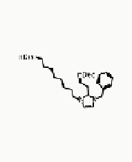 CCCCCCCCCCCCCCCCCCN1C=CN(Cc2ccccc2)C1CCCCCCCCCCCC